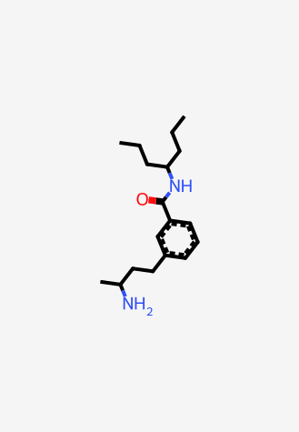 CCCC(CCC)NC(=O)c1cccc(CCC(C)N)c1